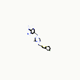 C[C@H]1CN(Cc2ccc3c(N)ncnc3c2)CCN1Cc1cc2cc(Cl)ccc2s1